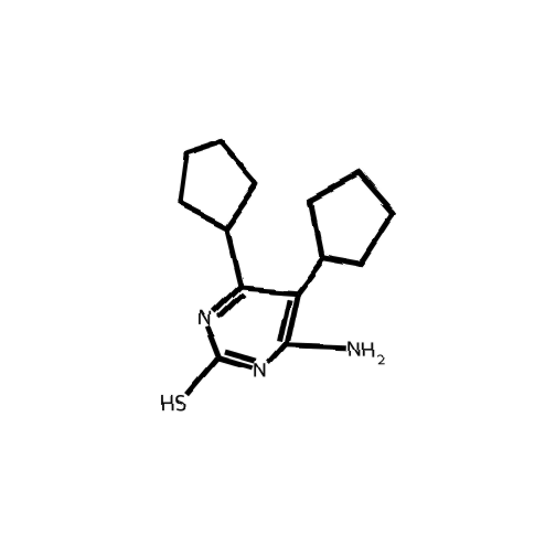 Nc1nc(S)nc(C2CCCC2)c1C1CCCC1